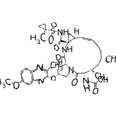 COc1ccc2nc(C)c(O[C@@H]3C[C@H]4C(=O)N[C@]5(C(=O)NS(=O)(=O)C6(C)CC6)C[C@H]5/C=C\CC[C@H](C)C[C@@H](C)[C@H](NC(=O)O)C(=O)N4C3)nc2c1